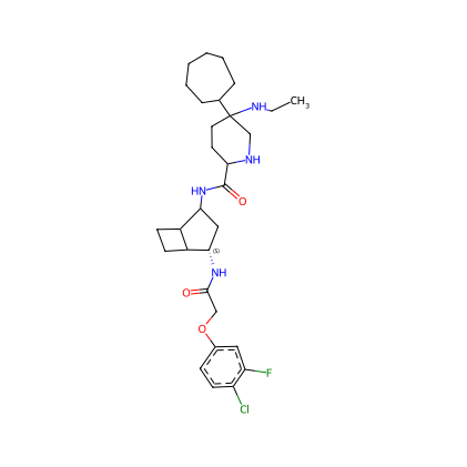 CCNC1(C2CCCCCC2)CCC(C(=O)NC2C[C@H](NC(=O)COc3ccc(Cl)c(F)c3)C3CCC23)NC1